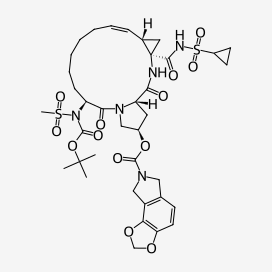 CC(C)(C)OC(=O)N([C@H]1CCCCC/C=C\[C@@H]2C[C@@]2(C(=O)NS(=O)(=O)C2CC2)NC(=O)[C@@H]2C[C@@H](OC(=O)N3Cc4ccc5c(c4C3)OCO5)CN2C1=O)S(C)(=O)=O